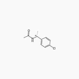 CC(=O)N[C@H](C)c1ccc(Cl)cc1